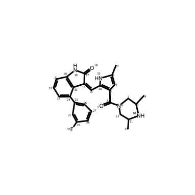 Cc1cc(C(=O)N2CC(C)NC(C)C2)c(C=C2C(=O)Nc3cccc(-c4cccc(F)c4)c32)[nH]1